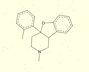 Cc1ccccc1C12CCN(C)CC1c1ccccc1O2